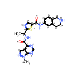 CC(NC(=O)c1ncnc2c1cnn2C)c1ncc(C(=O)Nc2ccc3c(c2)CCNC3)s1